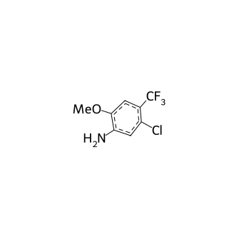 COc1cc(C(F)(F)F)c(Cl)cc1N